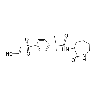 CC(C)(C(=O)NC1CCCCNC1=O)c1ccc(S(=O)(=O)C=CC#N)cc1